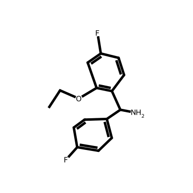 CCOc1cc(F)ccc1C(N)c1ccc(F)cc1